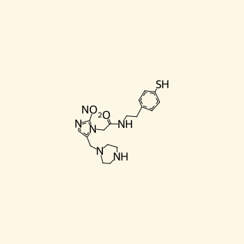 O=C(Cn1c(CN2CCNCC2)cnc1[N+](=O)[O-])NCCc1ccc(S)cc1